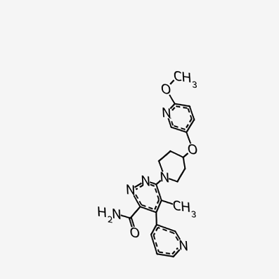 COc1ccc(OC2CCN(c3nnc(C(N)=O)c(-c4cccnc4)c3C)CC2)cn1